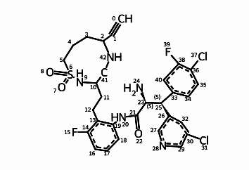 C#CC1CCCS(=O)(=O)NC(CCc2c(F)cccc2NC(=O)[C@@H](N)[C@H](c2cncc(Cl)c2)c2ccc(Cl)c(F)c2)CN1